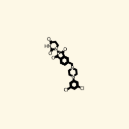 O=C1CCN(N2C(=O)c3ccc(CN4CCN(c5cc(Cl)cc(Cl)c5)CC4)cc3C2=O)C(=O)N1